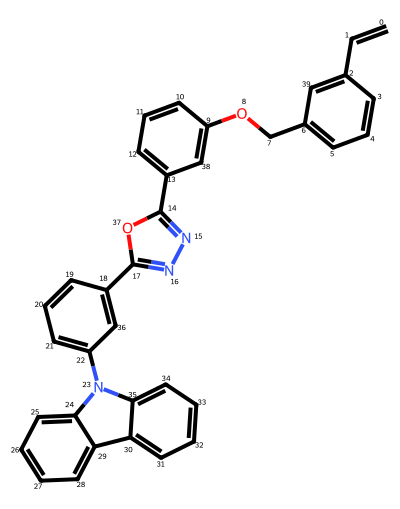 C=Cc1cccc(COc2cccc(-c3nnc(-c4cccc(-n5c6ccccc6c6ccccc65)c4)o3)c2)c1